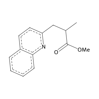 COC(=O)C(C)Cc1ccc2ccccc2n1